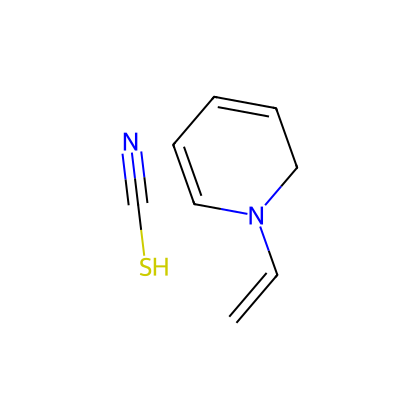 C=CN1C=CC=CC1.N#CS